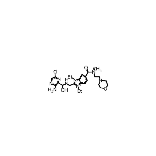 CCn1c(CNC(O)c2nc(Cl)cnc2N)[n+](CC)c2ccc(C(=O)N(C)CCN3CCOCC3)cc21